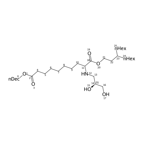 CCCCCCCCCCOC(=O)CCCCCCCC(NC[C@H](O)CO)C(=O)OCCC(CCCCCC)CCCCCC